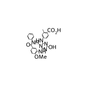 COc1ccc(C(=O)Nc2ccccc2)cc1Nc1nc(O)nc(Nc2ccc(C(=O)O)c(C)c2)n1